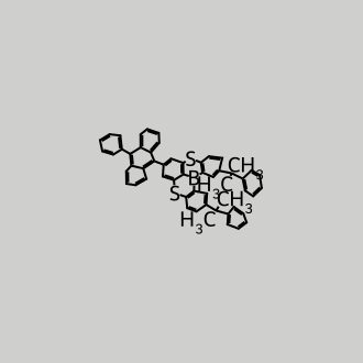 CC(C)(c1ccccc1)c1ccc2c(c1)B1c3cc(C(C)(C)c4ccccc4)ccc3Sc3cc(-c4c5ccccc5c(-c5ccccc5)c5ccccc45)cc(c31)S2